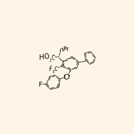 CCCC(C(=O)O)c1cc(-c2ccccc2)cc(Oc2ccc(F)cc2)c1C(F)(F)F